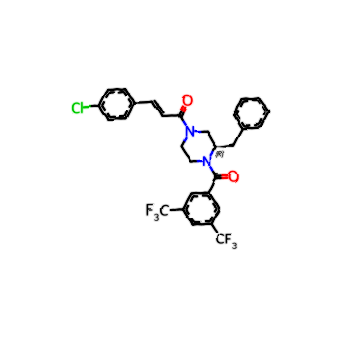 O=C(C=Cc1ccc(Cl)cc1)N1CCN(C(=O)c2cc(C(F)(F)F)cc(C(F)(F)F)c2)[C@H](Cc2ccccc2)C1